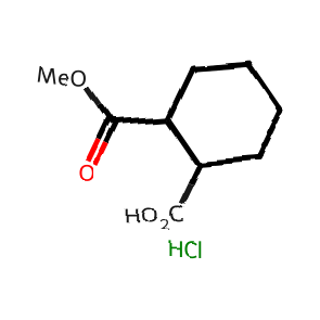 COC(=O)C1CCCCC1C(=O)O.Cl